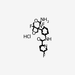 Cl.NC1=NC2(c3cc(NC(=O)c4ccc(F)cn4)ccc3F)COCC2(F)CO1